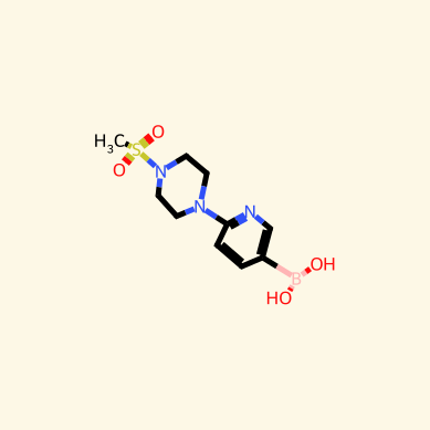 CS(=O)(=O)N1CCN(c2ccc(B(O)O)cn2)CC1